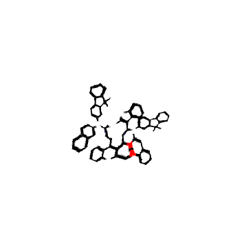 CCCc1oc2ccccc2c1/C(=C/c1cccc2c1C(C/C=C(\C)N(c1ccc3c(c1)C(C)(C)c1ccccc1-3)c1ccc3ccccc3c1)c1ccccc1S2)N(c1ccc2c(c1)C(C)(C)c1ccccc1-2)c1ccc2ccccc2c1